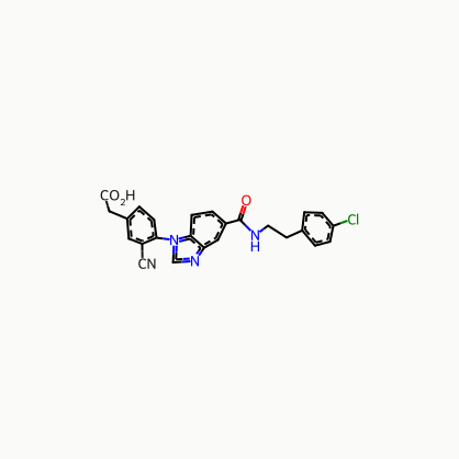 N#Cc1cc(CC(=O)O)ccc1-n1cnc2cc(C(=O)NCCc3ccc(Cl)cc3)ccc21